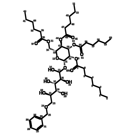 CCCCCCCC(=O)O[C@@H]1[C@H](OC(O)[C@@H](O)[C@@H](O)[C@H](O)[C@H](O)COCc2ccccc2)O[C@H](COC(=O)CCCCC)[C@@H](OC(=O)CCCCC)[C@@H]1OC(=O)CCCCC